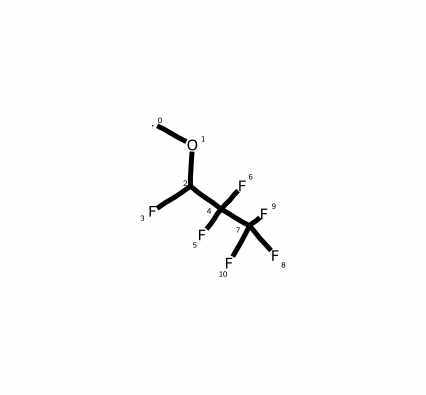 [CH2]OC(F)C(F)(F)C(F)(F)F